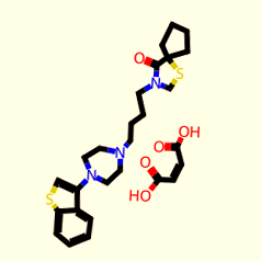 O=C(O)/C=C\C(=O)O.O=C1N(CCCCN2CCN(c3csc4ccccc34)CC2)CSC12CCCC2